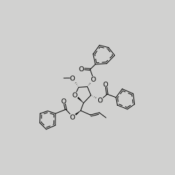 CC=C[C@@H](OC(=O)c1ccccc1)[C@H]1O[C@H](OC)[C@H](OC(=O)c2ccccc2)[C@@H]1OC(=O)c1ccccc1